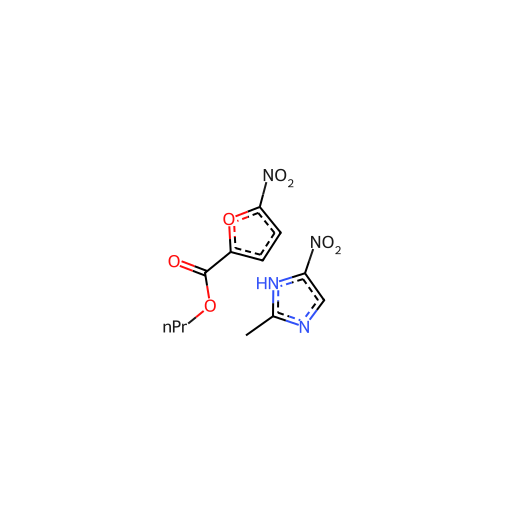 CCCOC(=O)c1ccc([N+](=O)[O-])o1.Cc1ncc([N+](=O)[O-])[nH]1